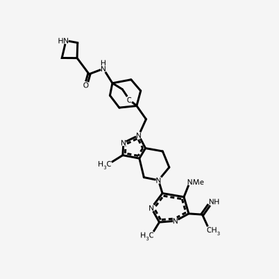 CNc1c(C(C)=N)nc(C)nc1N1CCc2c(c(C)nn2CC23CCC(NC(=O)C4CNC4)(CC2)CC3)C1